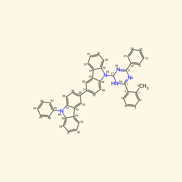 Cc1ccccc1C1=NC(c2ccccc2)=NC(n2c3ccccc3c3cc(-c4ccc5c(c4)c4ccccc4n5-c4ccccc4)ccc32)N1